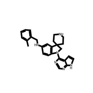 Cc1ccccc1CNc1ccc2c(c1)C1(CCNCC1)CN2c1ncnc2[nH]ccc12